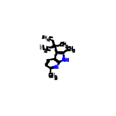 Cc1ccc2c(C(C)(C)C)c(C)[nH]c2n1